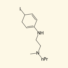 CCCN(C)CCNC1=CCC(I)C=C1